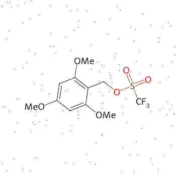 COc1cc(OC)c(COS(=O)(=O)C(F)(F)F)c(OC)c1